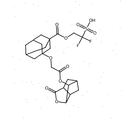 O=C(COC12CC3CC(C1)CC(C(=O)OCC(F)(F)S(=O)(=O)O)(C3)C2)OC1C2CC3C(=O)OC1C3C2